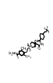 Cc1cc(C(=O)NN)cc(C)c1CCS(=O)(=O)N1CCC2(CC1)N=C(C1CCC(CCC(F)(F)F)CC1)NC2=O